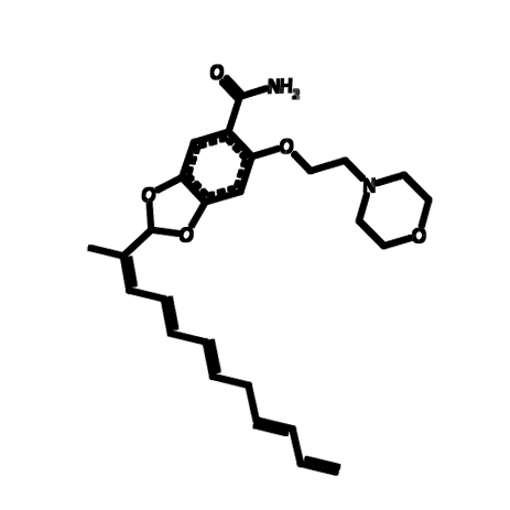 C=C/C=C/C/C=C/C=C/C=C(/C)C1Oc2cc(OCCN3CCOCC3)c(C(N)=O)cc2O1